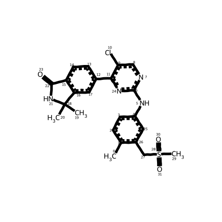 Cc1ccc(Nc2ncc(Cl)c(-c3ccc4c(c3)C(C)(C)NC4=O)n2)cc1CS(C)(=O)=O